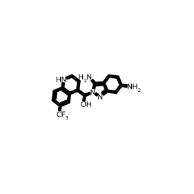 Nc1c2c(nn1C(O)C1CCNc3ccc(C(F)(F)F)cc31)CC(N)CC2